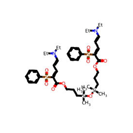 CCN(/C=C/C=C(/C(=O)OCCC[Si](C)(C)O[Si](C)(C)CCCOC(=O)/C(=C/C=C/N(CC)CC)S(=O)(=O)c1ccccc1)S(=O)(=O)c1ccccc1)CC